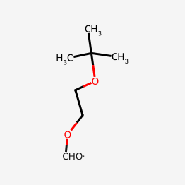 CC(C)(C)OCCO[C]=O